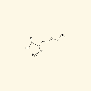 CCOCCC(NC)C(=O)O